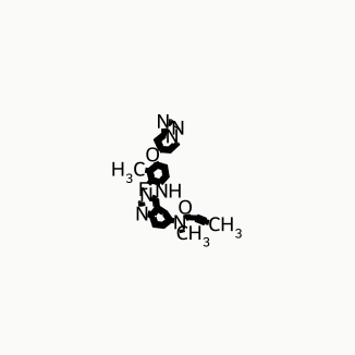 CC#CC(=O)N(C)c1ccc2ncnc(Nc3ccc(Oc4ccn5ncnc5c4)c(C)c3F)c2c1